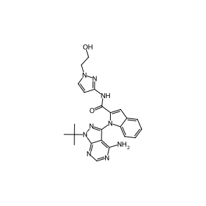 CC(C)(C)n1nc(-n2c(C(=O)Nc3ccn(CCO)n3)cc3ccccc32)c2c(N)ncnc21